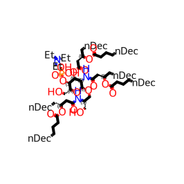 CCCCCCCCCCCCCC(=O)O[C@H](CCCCCCCCCCC)CC(=O)N[C@@H](CO)CO[C@H]1O[C@H](CO)[C@@H](OP(=O)(O)O)[C@H](OC(=O)C[C@@H](CCCCCCCCCCC)OC(=O)CCCCCCCCCCCCC)[C@@H]1NC(=O)C[C@@H](CCCCCCCCCCC)OC(=O)CCCCCCCCCCCCC.CCN(CC)CC